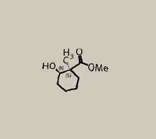 COC(=O)[C@@]1(C)CCCC[C@H]1O